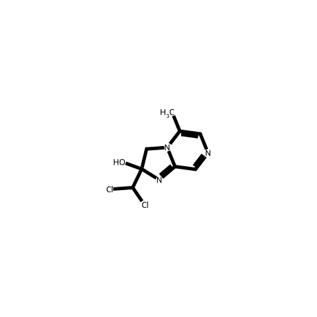 CC1=CN=CC2=NC(O)(C(Cl)Cl)CN12